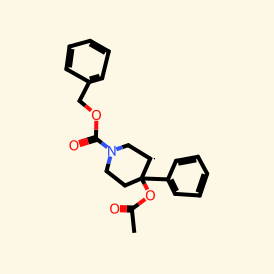 CC(=O)OC1(c2ccccc2)[CH]CN(C(=O)OCc2ccccc2)CC1